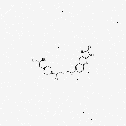 CCC(CC)CN1CCN(C(=O)CCCOc2ccc3nc4[nH]c(=O)[nH]c4cc3c2)CC1